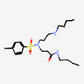 CCCCNCCCN(CCC(=O)NCCCC)S(=O)(=O)c1ccc(C)cc1